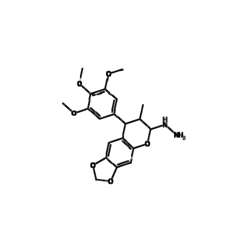 COc1cc(C2c3cc4c(cc3OC(NN)C2C)OCO4)cc(OC)c1OC